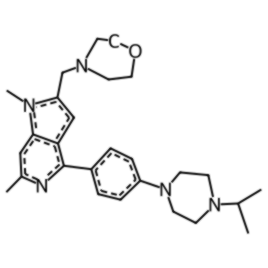 Cc1cc2c(cc(CN3CCOCC3)n2C)c(-c2ccc(N3CCN(C(C)C)CC3)cc2)n1